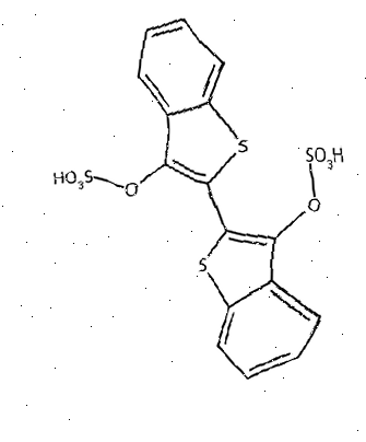 O=S(=O)(O)Oc1c(-c2sc3ccccc3c2OS(=O)(=O)O)sc2ccccc12